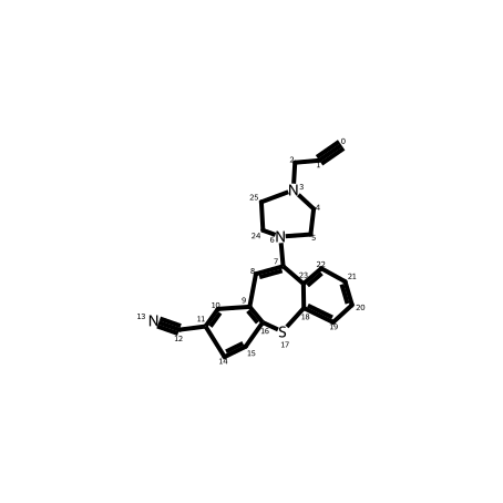 C#CCN1CCN(C2=Cc3cc(C#N)ccc3Sc3ccccc32)CC1